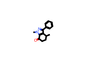 CC1CCC(=O)c2c1c(-c1ccccc1)nn2C